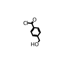 O=C(Cl)c1ccc(CO)cc1